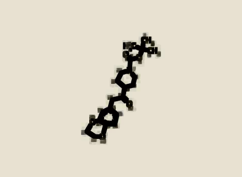 CC(C)(C)OC(=O)N1CCC(C(=O)Cc2ccc3c(c2)OCCO3)CC1